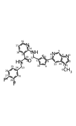 Cn1cnc2cnc(-c3ccc(CNc4ncccc4C(=O)NCc4ccc(F)c(F)c4)s3)cc21